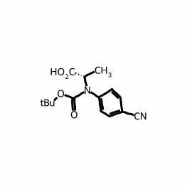 C[C@@H](C(=O)O)N(C(=O)OC(C)(C)C)c1ccc(C#N)cc1